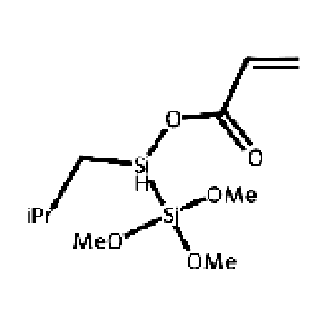 C=CC(=O)O[SiH](CC(C)C)[Si](OC)(OC)OC